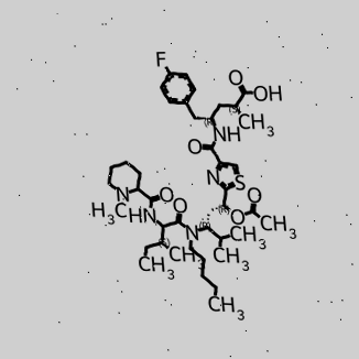 CCCCCN(C(=O)C(NC(=O)C1CCCCN1C)[C@@H](C)CC)[C@H](C[C@@H](OC(C)=O)c1nc(C(=O)N[C@@H](Cc2ccc(F)cc2)C[C@H](C)C(=O)O)cs1)C(C)C